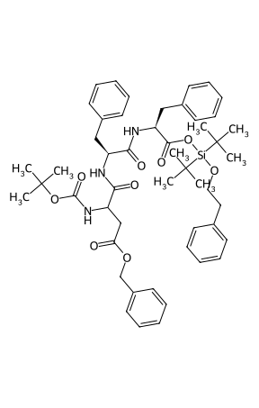 CC(C)(C)OC(=O)NC(CC(=O)OCc1ccccc1)C(=O)N[C@@H](Cc1ccccc1)C(=O)N[C@@H](Cc1ccccc1)C(=O)O[Si](OCCc1ccccc1)(C(C)(C)C)C(C)(C)C